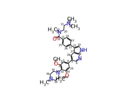 COc1cc(-c2cnc3[nH]cc(-c4ccc(C(=O)N(C)CCN(C)C)cc4)c3c2)cc(OC)c1N1CCN(C)CC1